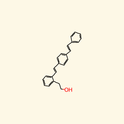 OCCc1ccccc1/C=C/c1ccc(/C=C/c2ccccc2)cc1